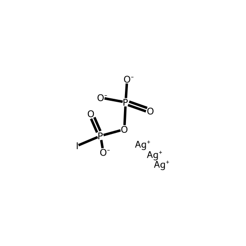 O=P([O-])([O-])OP(=O)([O-])I.[Ag+].[Ag+].[Ag+]